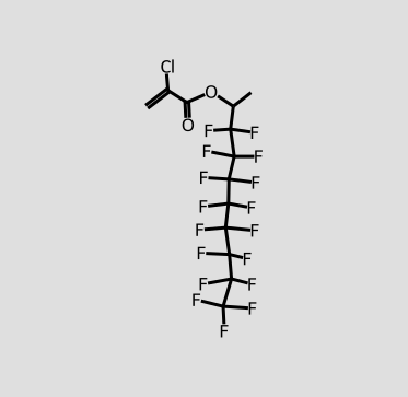 C=C(Cl)C(=O)OC(C)C(F)(F)C(F)(F)C(F)(F)C(F)(F)C(F)(F)C(F)(F)C(F)(F)C(F)(F)F